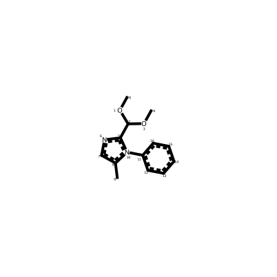 COC(OC)c1ncc(C)n1-c1ccccc1